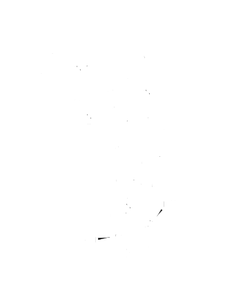 O=S(=O)(c1ccc(N2CCC(F)(F)C2)c(-c2cc3ncccc3[nH]2)c1)N1C[C@@H]2C[C@H]1CO2